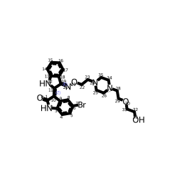 O=C1Nc2ccc(Br)cc2/C1=C1/Nc2ccccc2/C1=N\OCCN1CCN(CCOCCO)CC1